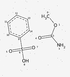 COC(N)=O.O=S(=O)(O)c1ccccc1